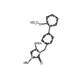 CCCCCCc1cn(CCCC)c(=O)n1Cc1ccc(-c2ccccc2OC(=O)O)cc1